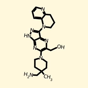 CC1(CN)CCN(c2nc3[nH]nc(N4CCCc5ncccc54)c3nc2CO)CC1